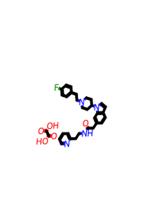 O=C(Cc1ccc2ccn(C3CCN(CCc4ccc(F)cc4)CC3)c2c1)NCCc1ccccn1.O=C(O)C(=O)O